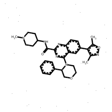 Cc1noc(C)c1-c1ccc2nc(C(=O)NC3CCN(C)CC3)nc(N3CCOCC3c3ccccc3)c2c1